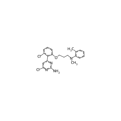 Cc1ccccc1N(C)CCCOc1cccc(Cl)c1-c1cc(Cl)nc(N)n1